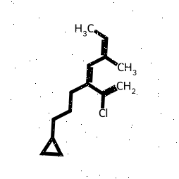 C=C(Cl)/C(=C\C(C)=C/C)CCCC1CC1